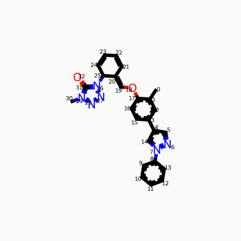 Cc1cc(-c2cnn(-c3ccccc3)c2)ccc1OC=C1C=CC=CC1n1nnn(C)c1=O